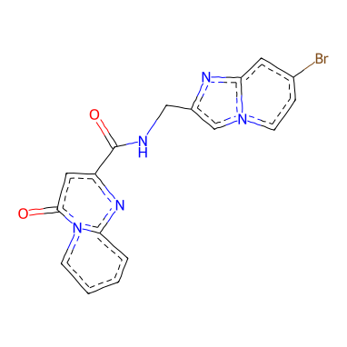 O=C(NCc1cn2ccc(Br)cc2n1)c1cc(=O)n2ccccc2n1